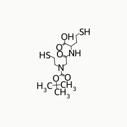 CC(C)(C)OC(=O)N(CCS)CC(=O)NC(CCS)C(=O)O